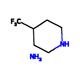 FC(F)(F)C1CCNCC1.N